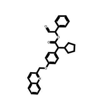 O=CC(OC(=O)C(c1ccc(OCc2ccc3ccccc3n2)cc1)C1CCCC1)c1ccccc1